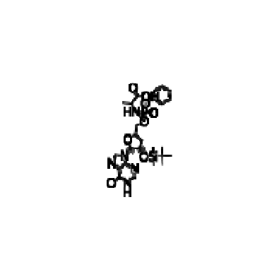 CC(N[P@](=O)(OCC1=C[C@@H](O[Si](C)(C)C(C)(C)C)[C@H](n2cnc3c(=O)[nH]cnc32)O1)Oc1ccccc1)C(=O)O